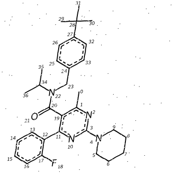 Cc1nc(N2CCCCC2)nc(-c2ccccc2F)c1C(=O)N(Cc1ccc(C(C)(C)C)cc1)C(C)C